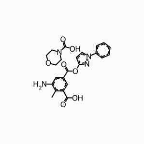 Cc1c(N)cc(C(=O)Oc2ccn(-c3ccccc3)n2)cc1C(=O)O.O=C(O)N1CCOCC1